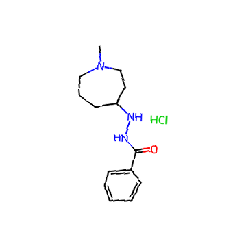 CN1CCCC(NNC(=O)c2ccccc2)CC1.Cl